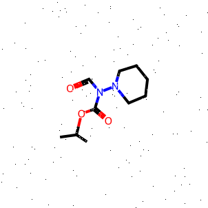 CC(C)OC(=O)N([C]=O)N1CCCCC1